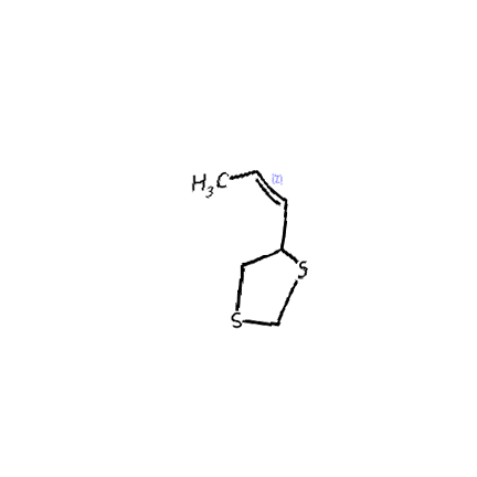 C/C=C\C1CSCS1